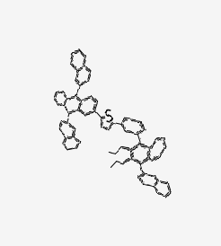 CC/C=c1/c(-c2cccc(-c3ccc(-c4ccc5c(-c6ccc7ccccc7c6)c6ccccc6c(-c6ccc7ccccc7c6)c5c4)s3)c2)c2ccccc2c(-c2ccc3ccccc3c2)/c1=C/CC